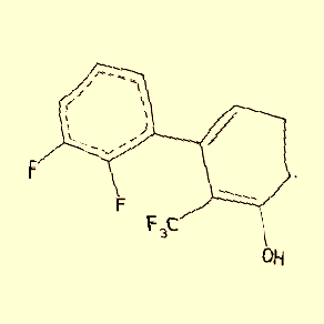 OC1=C(C(F)(F)F)C(c2cccc(F)c2F)=CC[CH]1